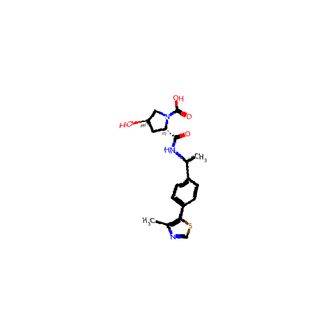 Cc1ncsc1-c1ccc(C(C)NC(=O)[C@@H]2C[C@@H](O)CN2C(=O)O)cc1